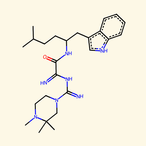 CC(C)CCC(Cc1c[nH]c2ccccc12)NC(=O)C(=N)NC(=N)N1CCN(C)C(C)(C)C1